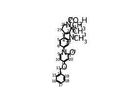 Cn1c2c(c3ccc(-n4ccc(OCc5ccccc5)cc4=O)cc31)CCN(C(=O)O)C2(C)C